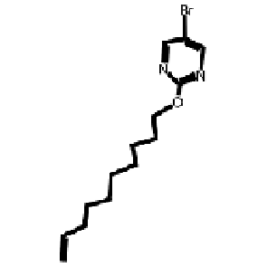 C=CCCCCCCCCOc1ncc(Br)cn1